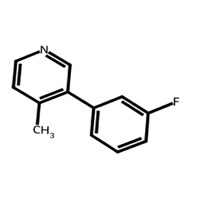 Cc1ccncc1-c1cccc(F)c1